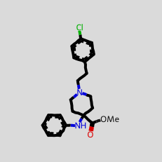 COC(=O)C1(Nc2ccccc2)CCN(CCc2ccc(Cl)cc2)CC1